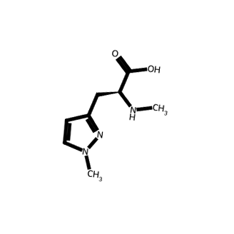 CN[C@@H](Cc1ccn(C)n1)C(=O)O